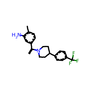 C=C(c1ccc(C)c(N)c1)N1CCC(c2ccc(C(F)(F)F)cc2)CC1